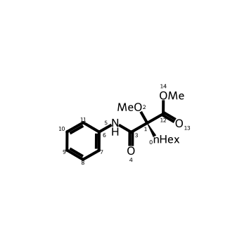 CCCCCC[C@](OC)(C(=O)Nc1ccccc1)C(=O)OC